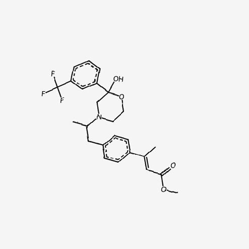 COC(=O)/C=C(\C)c1ccc(CC(C)N2CCOC(O)(c3cccc(C(F)(F)F)c3)C2)cc1